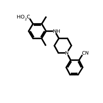 Cc1ccc(C(=O)O)c(C)c1NC1CCN(c2ccccc2C#N)CC1